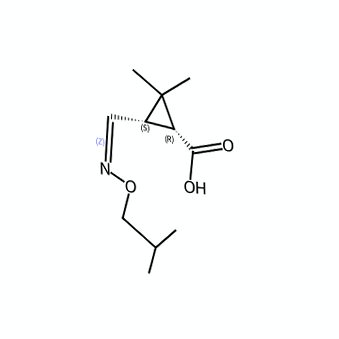 CC(C)CO/N=C\[C@H]1[C@@H](C(=O)O)C1(C)C